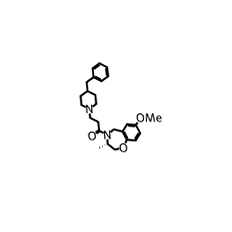 COc1ccc2c(c1)CN(C(=O)CCN1CCC(Cc3ccccc3)CC1)[C@@H](C)CO2